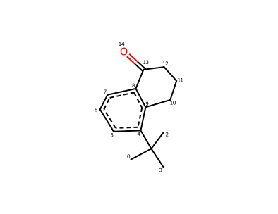 CC(C)(C)c1cccc2c1CCCC2=O